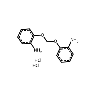 Cl.Cl.Nc1ccccc1OCOc1ccccc1N